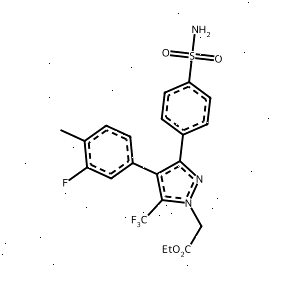 CCOC(=O)Cn1nc(-c2ccc(S(N)(=O)=O)cc2)c(-c2ccc(C)c(F)c2)c1C(F)(F)F